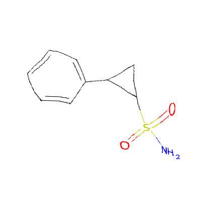 NS(=O)(=O)C1CC1c1ccccc1